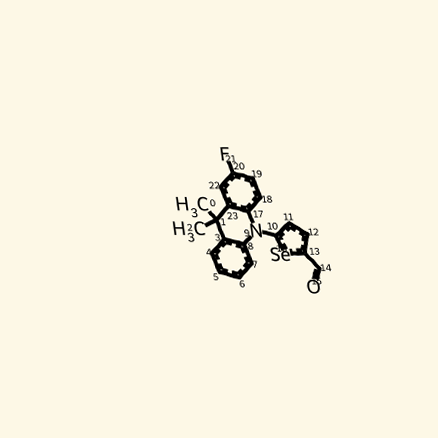 CC1(C)c2ccccc2N(c2ccc(C=O)[se]2)c2ccc(F)cc21